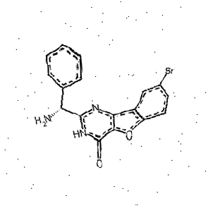 N[C@H](c1ccccc1)c1nc2c(oc3ccc(Br)cc32)c(=O)[nH]1